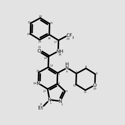 CCn1ncc2c(NC3CCOCC3)c(C(=O)NC(c3ccccc3)C(F)(F)F)cnc21